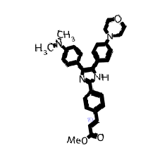 COC(=O)/C=C/c1ccc(-c2nc(-c3ccc(N(C)C)cc3)c(-c3ccc(N4CCOCC4)cc3)[nH]2)cc1